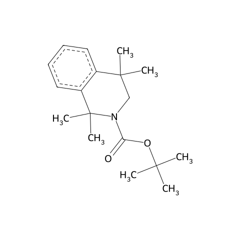 CC(C)(C)OC(=O)N1CC(C)(C)c2ccccc2C1(C)C